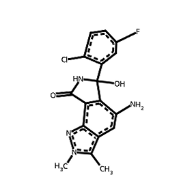 Cc1c2cc(N)c3c(c2nn1C)C(=O)NC3(O)c1cc(F)ccc1Cl